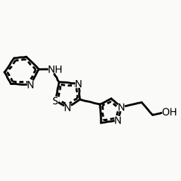 OCCn1cc(-c2nsc(Nc3ccccn3)n2)cn1